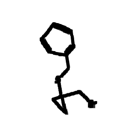 BrCC1(SCc2ccccc2)CC1